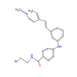 C=N\C=C/C(=C\C)/C=C/c1cccc(Nc2ccc(C(=O)NCCC(C)C)cc2)c1